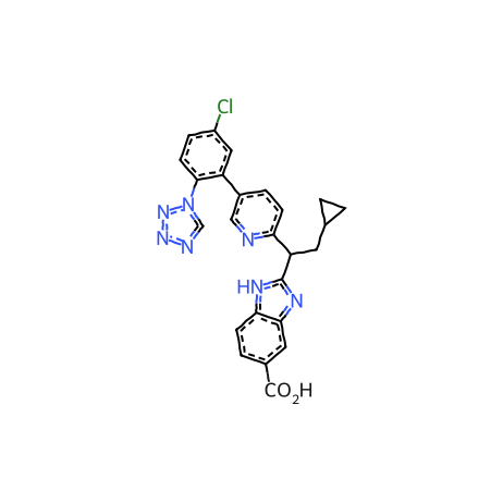 O=C(O)c1ccc2[nH]c(C(CC3CC3)c3ccc(-c4cc(Cl)ccc4-n4cnnn4)cn3)nc2c1